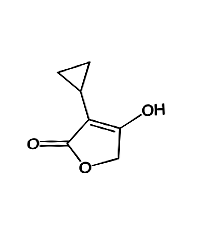 O=C1OCC(O)=C1C1CC1